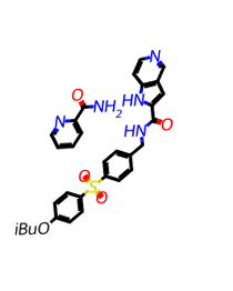 CC(C)COc1ccc(S(=O)(=O)c2ccc(CNC(=O)c3cc4cnccc4[nH]3)cc2)cc1.NC(=O)c1ccccn1